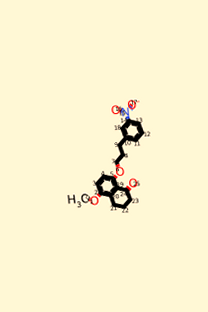 COc1ccc(OCCCc2cccc([N+](=O)[O-])c2)c2c1CCCC2=O